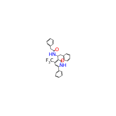 O=C(Cc1ccccc1)NC(Cc1ccccc1)c1c(C(F)(F)F)cc(-c2ccccc2)[nH]c1=O